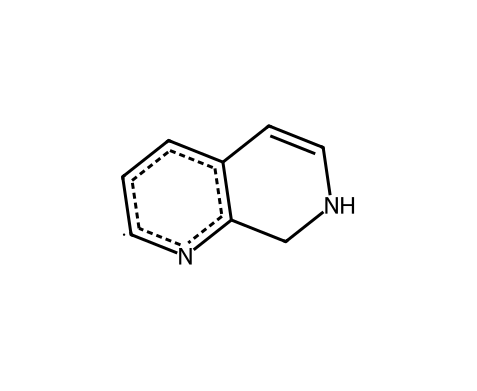 [c]1ccc2c(n1)CNC=C2